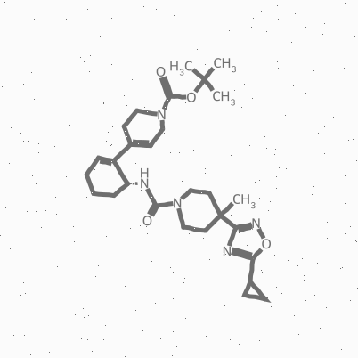 CC(C)(C)OC(=O)N1CC=C(C2=CCCC[C@H]2NC(=O)N2CCC(C)(c3noc(C4CC4)n3)CC2)CC1